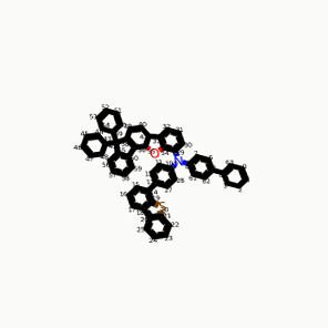 C1=CCCC(c2ccc(N(c3ccc(-c4cccc5c4sc4ccccc45)cc3)c3cccc4c3OC3C5=C(C=CC43)C(C3C=CC=CC3)(C3C=CC=CC3)c3ccccc35)cc2)=C1